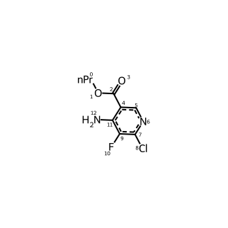 CCCOC(=O)c1cnc(Cl)c(F)c1N